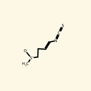 C[S+]([O-])CCC=CN=C=S